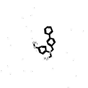 CCN(Cc1ccc(-c2ccccc2)cc1)c1ccc(OC)cc1